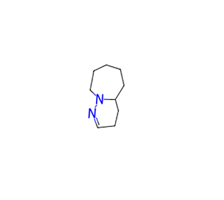 C1=NN2CCCCCC2CC1